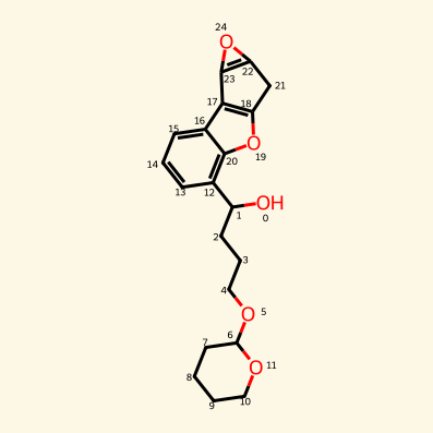 OC(CCCOC1CCCCO1)c1cccc2c3c(oc12)CC1=C3O1